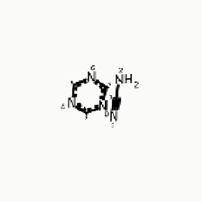 N#CN.c1ncncn1